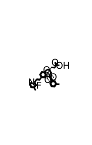 Cc1cccc(S(=O)(=O)N2C[C@H](CCC(=O)O)Oc3ccc(/C=C/c4nccc(C)c4F)cc32)c1